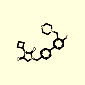 O=C1CN(Cc2ccc(-c3ccc(F)c(CN4CCSCC4)c3)cc2)C(=O)N1C1CCC1